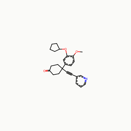 COc1ccc(C2(C#Cc3cccnc3)CCC(=O)CC2)cc1OC1CCCC1